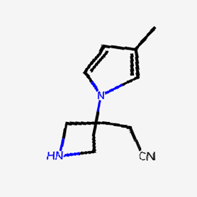 Cc1ccn(C2(CC#N)CNC2)c1